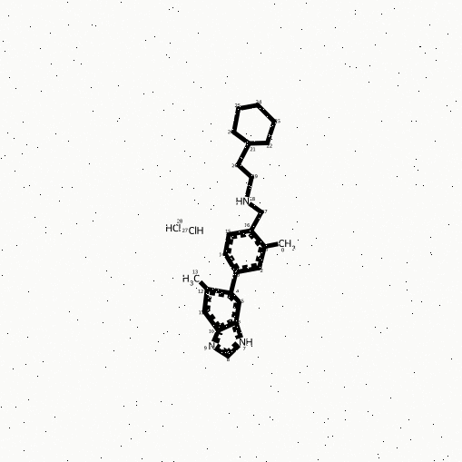 Cc1cc(-c2cc3[nH]cnc3cc2C)ccc1CNCCC1CCCCC1.Cl.Cl